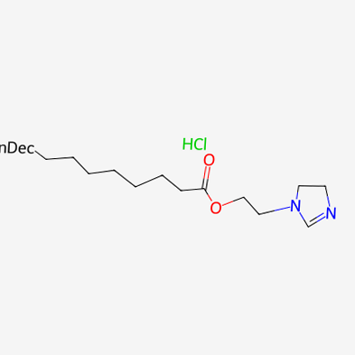 CCCCCCCCCCCCCCCCCC(=O)OCCN1C=NCC1.Cl